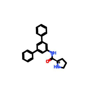 O=C(Nc1cc(-c2ccccc2)cc(-c2ccccc2)c1)[C@H]1CCCN1